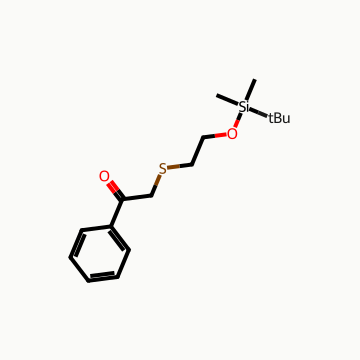 CC(C)(C)[Si](C)(C)OCCSCC(=O)c1ccccc1